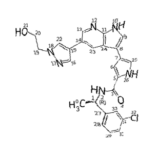 C[C@@H](NC(=O)c1cc(-c2c[nH]c3ncc(-c4cnn(CCO)c4)cc23)c[nH]1)c1cccc(Cl)c1